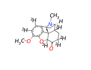 [2H]c1c([2H])c(OC)c2c3c1C[C@H]1N(C)CC[C@@]34C([2H])(O2)C(=O)C([2H])([2H])C[C@@]14[2H]